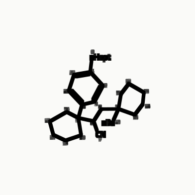 CCCCCCCc1ccc(C2(C(C#N)CC3(CCCC)CCCCC3)CCCCC2)cc1